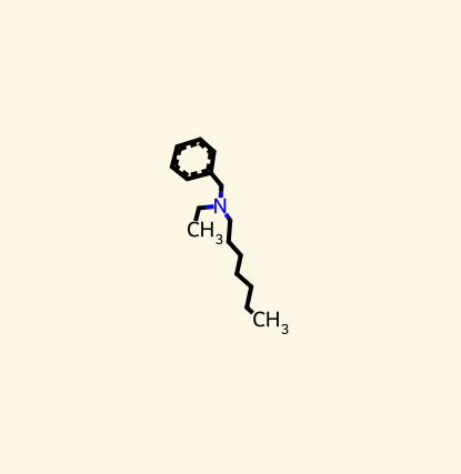 CCCCCCCN(CC)Cc1ccccc1